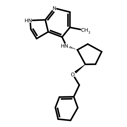 Cc1cnc2[nH]ccc2c1N[C@@H]1CCC[C@H]1OCC1=CC=CCC1